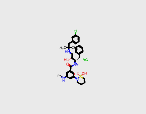 CCNc1cc(C(=O)N[C@@H](Cc2ccccc2)[C@H](O)CNC(C)(C)Cc2cccc(Cl)c2)cc(N2CCCCS2(O)O)c1.Cl